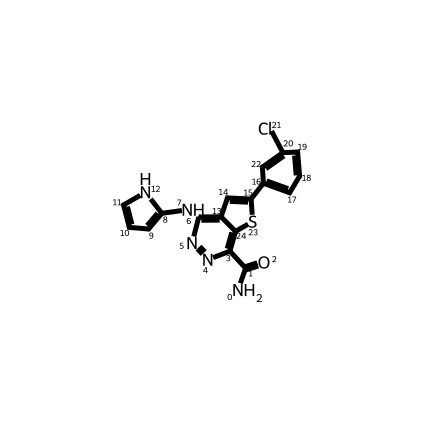 NC(=O)c1nnc(Nc2ccc[nH]2)c2cc(-c3cccc(Cl)c3)sc12